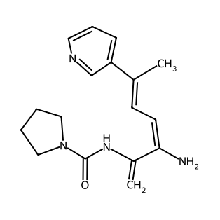 C=C(NC(=O)N1CCCC1)/C(N)=C\C=C(/C)c1cccnc1